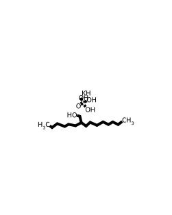 CCCCCCCCC(CO)CCCCCC.O=P(O)(O)O.[KH]